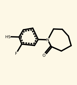 O=C1CCCCCN1c1ccc(S)c(F)c1